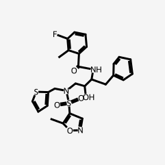 Cc1oncc1S(=O)(=O)N(Cc1cccs1)CC(O)C(Cc1ccccc1)NC(=O)c1cccc(F)c1C